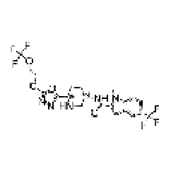 Cn1c(C(=O)N[C@H]2CC[C@H](c3nnc(OCCOC(F)(F)F)o3)NC2)cc2cc(C(F)(F)F)ccc21